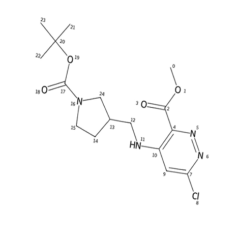 COC(=O)c1nnc(Cl)cc1NCC1CCN(C(=O)OC(C)(C)C)C1